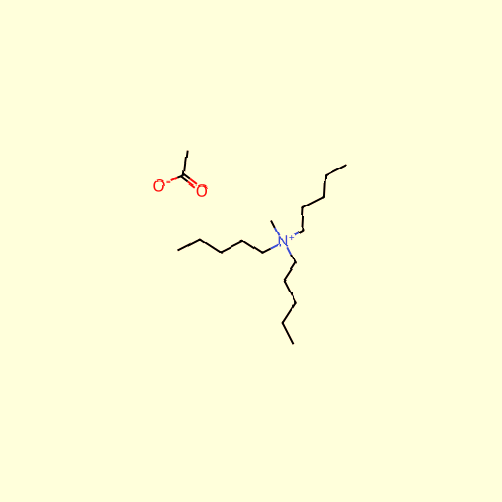 CC(=O)[O-].CCCCC[N+](C)(CCCCC)CCCCC